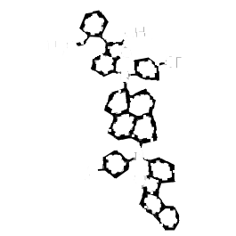 C=Cc1ccccc1-c1c(C)oc2c(N(c3ccc(C(F)(F)F)cc3)c3ccc4ccc5c(N(c6ccc(C(F)(F)F)cc6)c6cccc7c6oc6ccc8ccccc8c67)ccc6ccc3c4c65)cccc12